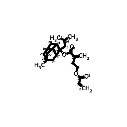 C=CC(=O)OCCC(=C)C(=O)OC1(CC(C)C)C2CC3CC1CC(C)(C3)C2